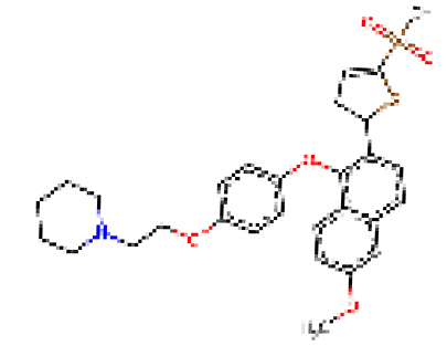 COc1ccc2c(Oc3ccc(OCCN4CCCCC4)cc3)c(C3CC=C(S(C)(=O)=O)S3)ccc2c1